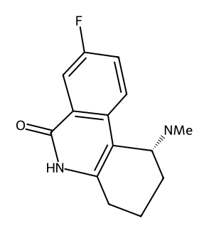 CN[C@@H]1CCCc2[nH]c(=O)c3cc(F)ccc3c21